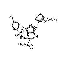 COc1ccc(S(=O)(=O)Nc2c(C(=O)O)cnc3c2c(C)nn3Cc2ccccc2)cc1.NO